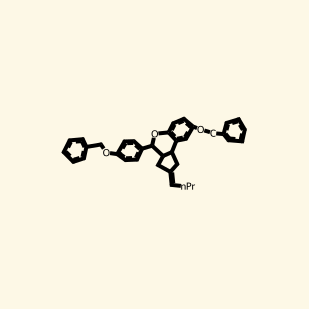 CCC/C=C1\CC2c3cc(OCc4ccccc4)ccc3OC(c3ccc(OCc4ccccc4)cc3)C2C1